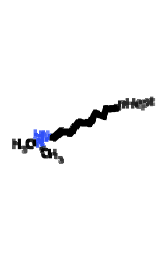 CCCCCCCCCCCCCCCCNN(C)C